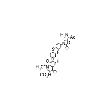 CC(=O)C(N)C1CN(c2ccc(SC3CCN(c4c(F)cc5c(=O)c(C(=O)O)cn6c5c4OCC6C)CC3)c(F)c2)C(=O)O1